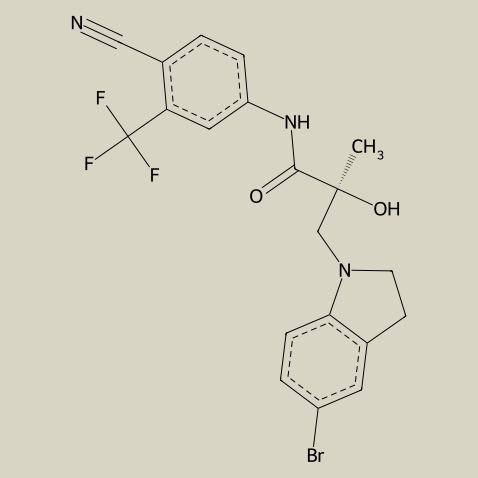 C[C@](O)(CN1CCc2cc(Br)ccc21)C(=O)Nc1ccc(C#N)c(C(F)(F)F)c1